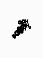 CN(C)C1CCN(S(=O)(=O)NC[C@H](N)C(=O)O)CC1